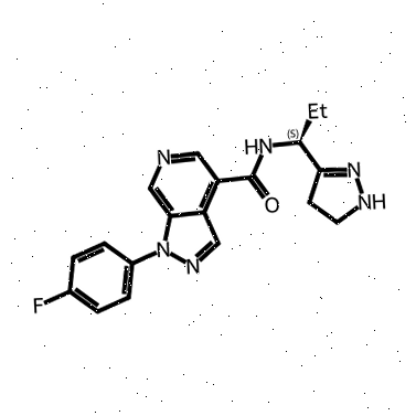 CC[C@H](NC(=O)c1cncc2c1cnn2-c1ccc(F)cc1)C1=NNCC1